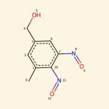 Cc1cc(CO)cc(N=O)c1N=O